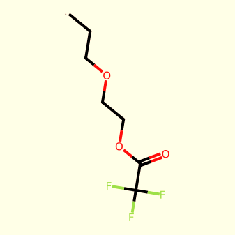 [CH2]CCOCCOC(=O)C(F)(F)F